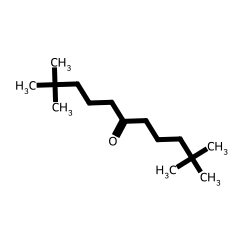 CC(C)(C)CCCC(=O)CCCC(C)(C)C